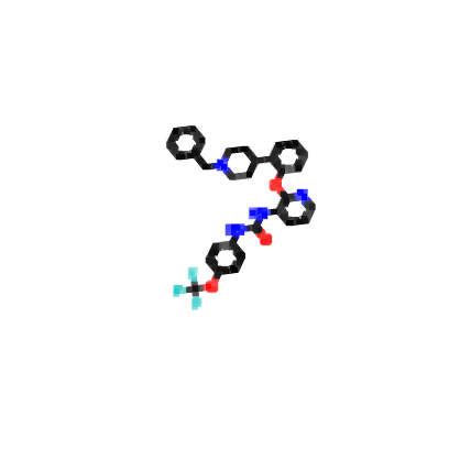 O=C(Nc1ccc(OC(F)(F)F)cc1)Nc1cccnc1Oc1ccccc1C1CCN(Cc2ccccc2)CC1